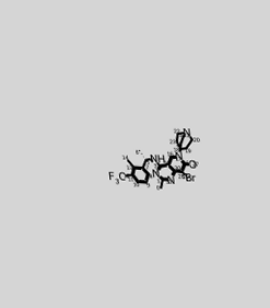 Cc1nc(N[C@@H](C)c2cccc(C(F)(F)F)c2C)c2cn(C34CCN(CC3)CC4)c(=O)c(Br)c2n1